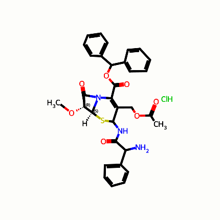 CO[C@@H]1C(=O)N2C(C(=O)OC(c3ccccc3)c3ccccc3)=C(COC(C)=O)C(NC(=O)C(N)c3ccccc3)S[C@@H]12.Cl